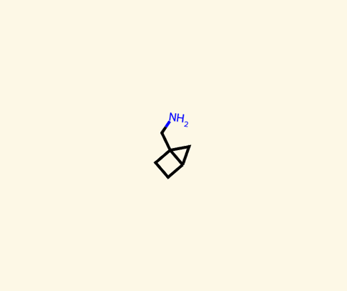 NCC12CCC1C2